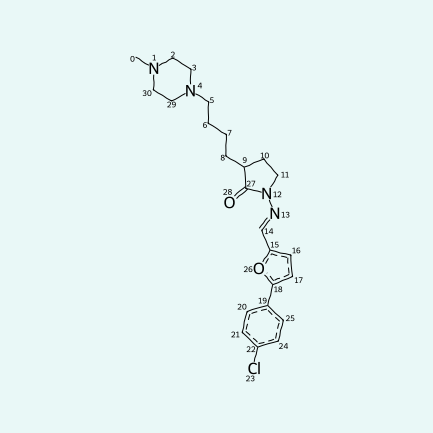 CN1CCN(CCCCC2CCN(N=Cc3ccc(-c4ccc(Cl)cc4)o3)C2=O)CC1